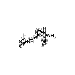 CNC(=C[N+](=O)[O-])NCCSCc1nccc(NC(N)=NCC(F)(F)F)n1